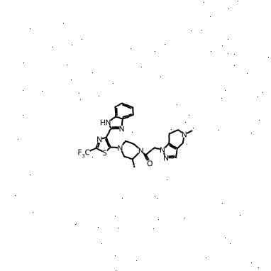 CC1CN(c2sc(C(F)(F)F)nc2-c2nc3ccccc3[nH]2)CCN1C(=O)Cn1ncc2c1CCN(C)C2